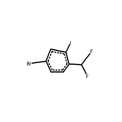 FC(F)c1ccc(Br)cc1I